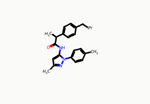 Cc1ccc(-n2nc(C)cc2NC(=O)C(C)c2ccc(CC(C)C)cc2)cc1